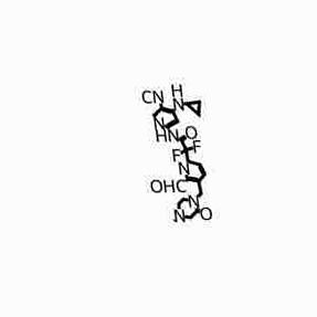 CN1CCN(Cc2ccc(C(F)(F)C(=O)Nc3cc(NC4CC4)c(C#N)cn3)nc2C=O)C(=O)C1